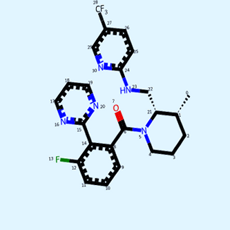 C[C@@H]1CCCN(C(=O)c2cccc(F)c2-c2ncccn2)[C@@H]1CNc1ccc(C(F)(F)F)cn1